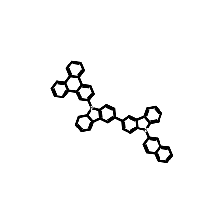 C1=CCC2C(=C1)c1cc(-c3ccc4c(c3)c3ccccc3n4-c3ccc4ccccc4c3)ccc1N2c1ccc2c3ccccc3c3ccccc3c2c1